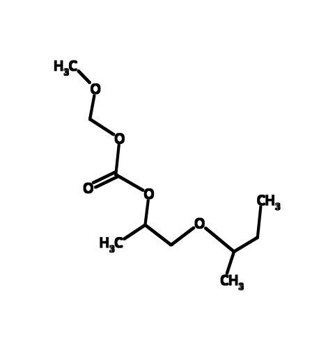 CCC(C)OCC(C)OC(=O)OCOC